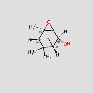 CC1(C)[C@@H]2C[C@H]1[C@@]1(C)OC1[C@H]2O